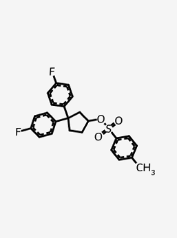 Cc1ccc(S(=O)(=O)OC2CCC(c3ccc(F)cc3)(c3ccc(F)cc3)C2)cc1